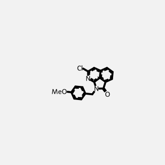 COc1ccc(CN2C(=O)c3cccc4cc(Cl)nc2c34)cc1